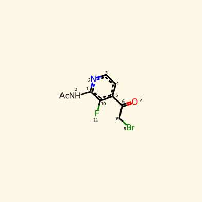 CC(=O)Nc1nccc(C(=O)CBr)c1F